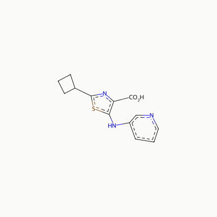 O=C(O)c1nc(C2CCC2)sc1Nc1cccnc1